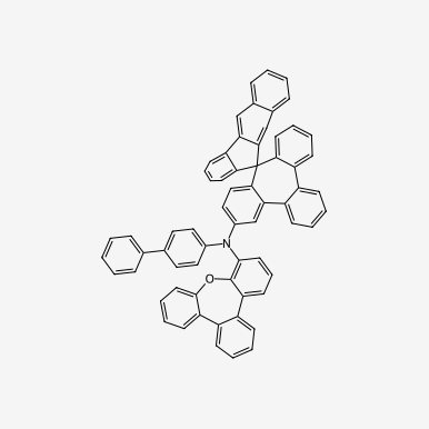 c1ccc(-c2ccc(N(c3ccc4c(c3)-c3ccccc3-c3ccccc3C43c4ccccc4-c4cc5ccccc5cc43)c3cccc4c3Oc3ccccc3-c3ccccc3-4)cc2)cc1